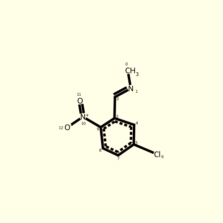 C/N=C/c1cc(Cl)ccc1[N+](=O)[O-]